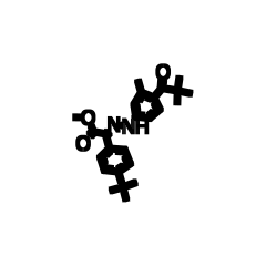 COC(=O)/C(=N/Nc1ccc(C(=O)C(C)(C)C)c(C)c1)c1ccc(C(C)(C)C)cc1